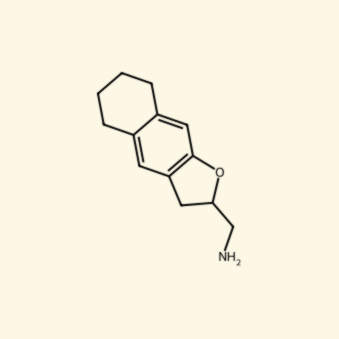 NCC1Cc2cc3c(cc2O1)CCCC3